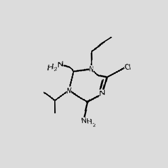 CCN1C(Cl)=NC(N)N(C(C)C)C1N